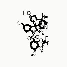 COc1ccc(S(=O)(=O)N2C(=O)C(c3cccnc3OC)(N3C[C@H](O)C[C@H]3C(=O)N(C)C)c3cc(Cl)ccc32)c(OC(F)(F)F)c1OC